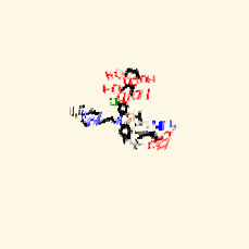 CC(C)[C@H](N)C(=O)O.CN1CCN(CCCN2c3ccccc3Sc3ccc(Cl)cc32)CC1.O=C(O)/C=C\C(=O)O.O=C(O)/C=C\C(=O)O